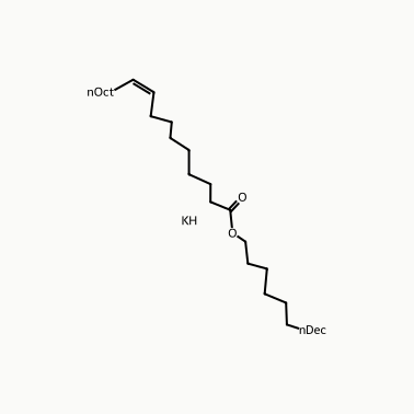 CCCCCCCC/C=C\CCCCCCCC(=O)OCCCCCCCCCCCCCCCC.[KH]